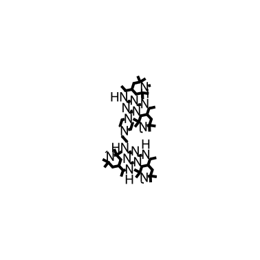 CC(Nc1nc(NCCN2CCN(c3nc(NC(C)C4CC(C)(C)N(C)C(C)(C)C4)nc(NC(C)C4CC(C)(C)N(C)C(C)(C)C4)n3)CC2)nc(NC(C)C2CC(C)(C)N(C)C(C)(C)C2)n1)C1CC(C)(C)N(C)C(C)(C)C1